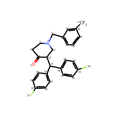 O=C1CCN(Cc2cccc(C(F)(F)F)c2)CC1C(c1ccc(F)cc1)c1ccc(F)cc1